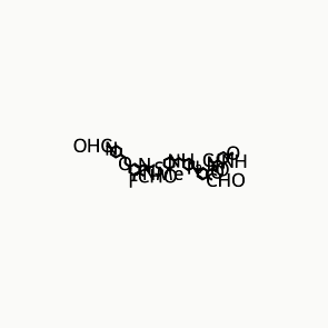 CN/C(CSC1CCN(CC2CCN(c3ccc(C=O)c(C(=O)N(C)C4CCC(=O)NC4=O)c3)CC2)CC1)=N\c1cc(OCC2CCN(C=O)CC2)cc(F)c1C=O